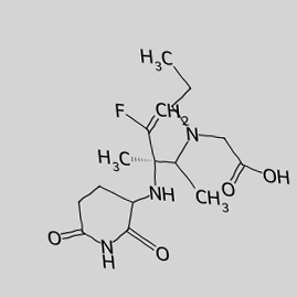 C=C(F)[C@](C)(NC1CCC(=O)NC1=O)C(C)N(CCC)CC(=O)O